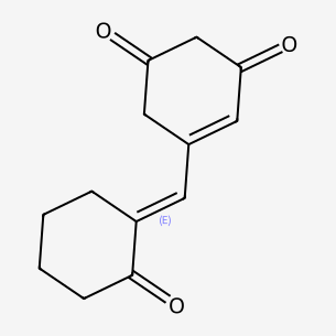 O=C1C=C(/C=C2\CCCCC2=O)CC(=O)C1